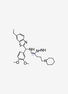 CCc1ccc2nc(C(N/C=C(/CCCN3CCCCC3)N=N)c3ccc(OC)c(OC)c3)sc2c1